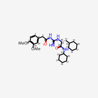 COc1ccc(CC(=O)NC(=N)N[C@H](CC2CCCCC2)C(=O)NC2CCCCC2)cc1OC